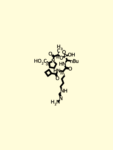 CCCCC(NC(=O)[C@H](CCCCNC=NN)NC(=O)C1CCC1)P(=O)(O)O[C@@H](C)C(=O)N1CCC[C@H]1C(=O)O